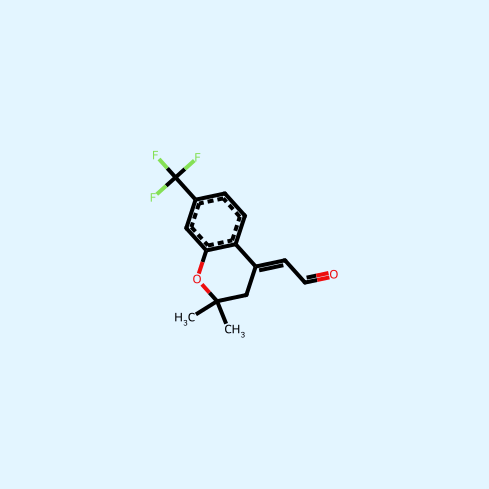 CC1(C)CC(=CC=O)c2ccc(C(F)(F)F)cc2O1